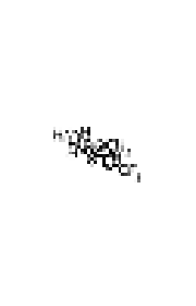 Cc1nc(C(F)(F)F)ccc1S(=O)(=O)N1C[C@H]2CNC[C@@H]2C1